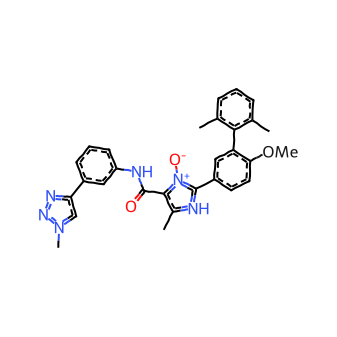 COc1ccc(-c2[nH]c(C)c(C(=O)Nc3cccc(-c4cn(C)nn4)c3)[n+]2[O-])cc1-c1c(C)cccc1C